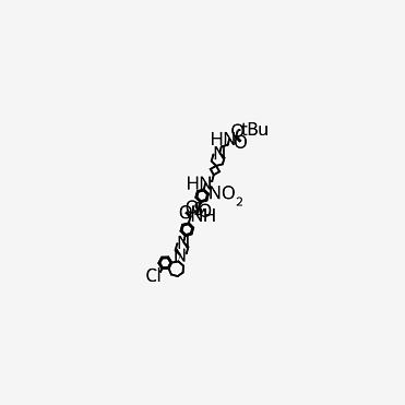 CC(C)(C)OC(=O)NCCN1CCC2(CC1)CC(CNc1ccc(S(=O)(=O)NC(=O)c3ccc(N4CCN([C@@H]5CCCCc6c(Cl)cccc65)CC4)cc3)cc1[N+](=O)[O-])C2